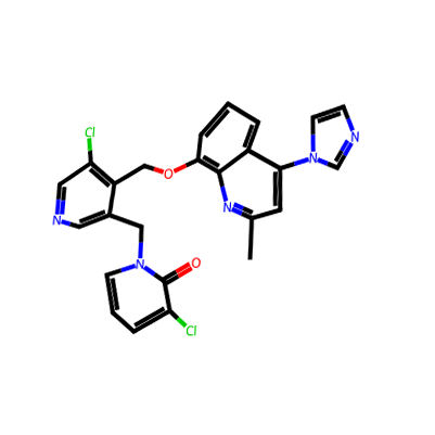 Cc1cc(-n2ccnc2)c2cccc(OCc3c(Cl)cncc3Cn3cccc(Cl)c3=O)c2n1